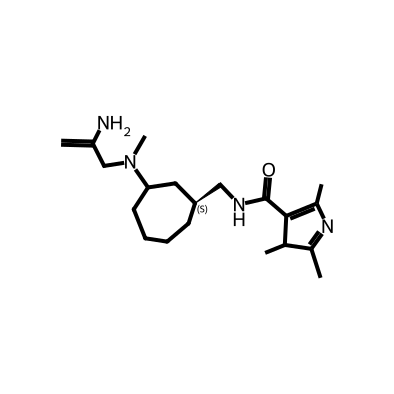 C=C(N)CN(C)C1CCCC[C@H](CNC(=O)C2=C(C)N=C(C)C2C)C1